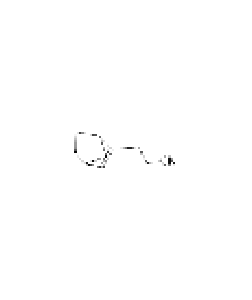 N#CCCC1=CC2CCC1C2